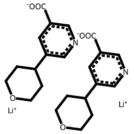 O=C([O-])c1cncc(C2CCOCC2)c1.O=C([O-])c1cncc(C2CCOCC2)c1.[Li+].[Li+]